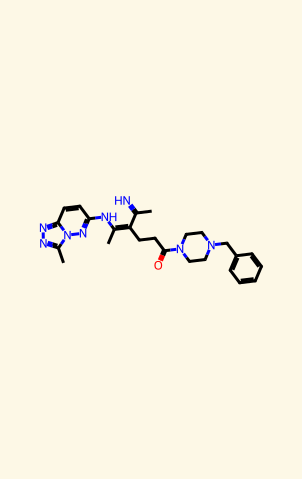 CC(=N)/C(CCC(=O)N1CCN(Cc2ccccc2)CC1)=C(/C)Nc1ccc2nnc(C)n2n1